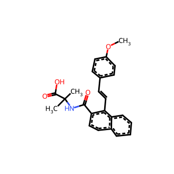 COc1ccc(C=Cc2c(C(=O)NC(C)(C)C(=O)O)ccc3ccccc23)cc1